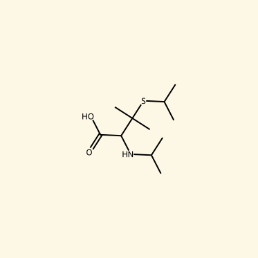 CC(C)NC(C(=O)O)C(C)(C)SC(C)C